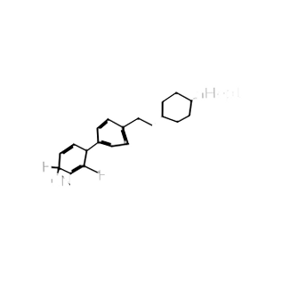 CCCCCCC[C@H]1CC[C@H](CCc2ccc(C3C=CC(F)(C#N)C=C3F)cc2)CC1